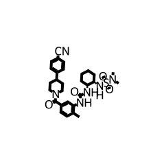 Cc1ccc(C(=O)N2CCC(c3ccc(C#N)cc3)CC2)cc1NC(=O)N[C@H]1CCCC[C@H]1NS(=O)(=O)N(C)C